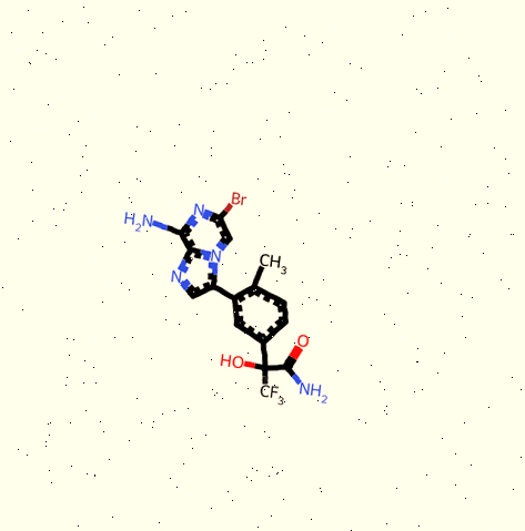 Cc1ccc(C(O)(C(N)=O)C(F)(F)F)cc1-c1cnc2c(N)nc(Br)cn12